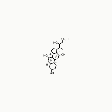 C[C@H](C(O)CC(=O)O)[C@H]1CC[C@H]2[C@@H]3[C@H](O)C[C@@H]4C[C@H](O)CC[C@]4(C)[C@H]3C[C@H](O)[C@]12C